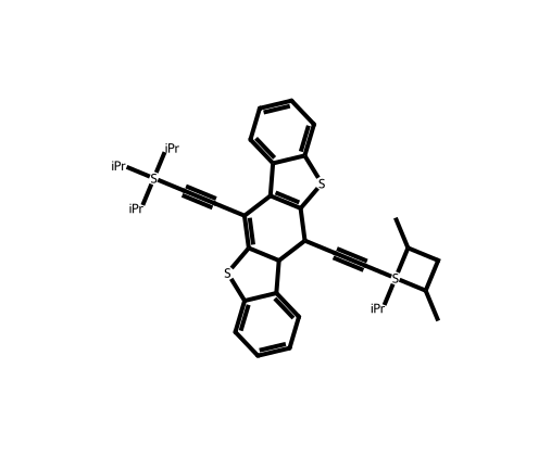 CC(C)S(C#CC1=C2Sc3ccccc3C2C(C#CS2(C(C)C)C(C)CC2C)c2sc3ccccc3c21)(C(C)C)C(C)C